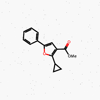 COC(=O)c1cc(-c2ccccc2)oc1C1CC1